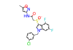 Cc1cc(NC(=O)C[S+]([O-])c2cn(Cc3cccc(Cl)c3)c3cc(F)cc(F)c23)no1